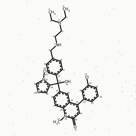 CCN(CC)CCNCc1ccc(C(O)(c2ccc3c(c2)c(-c2cccc(Cl)c2)cc(=O)n3C)c2cncn2C)cc1